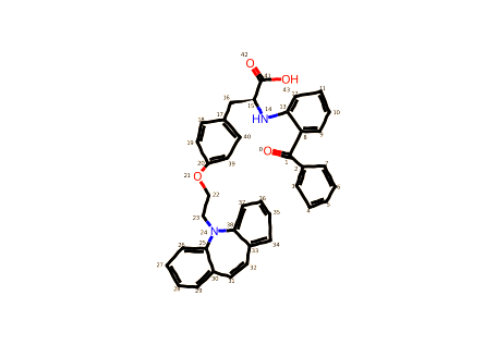 O=C(c1ccccc1)c1ccccc1N[C@@H](Cc1ccc(OCCN2c3ccccc3C=Cc3ccccc32)cc1)C(=O)O